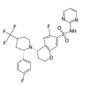 O=S(=O)(Nc1ncccn1)c1cc2c(cc1F)[C@@H](N1CCC(C(F)(F)F)C[C@H]1c1ccc(F)cc1)CCO2